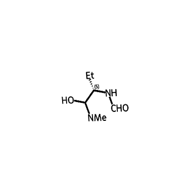 CC[C@H](NC=O)C(O)NC